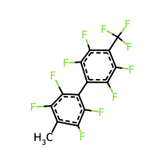 Cc1c(F)c(F)c(-c2c(F)c(F)c(C(F)(F)F)c(F)c2F)c(F)c1F